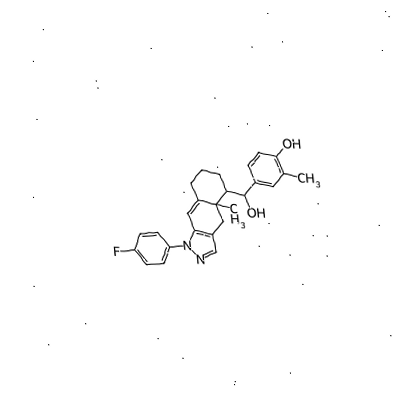 Cc1cc(C(O)C2CCCC3=Cc4c(cnn4-c4ccc(F)cc4)CC32C)ccc1O